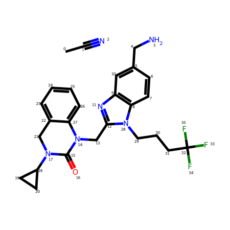 CC#N.NCc1ccc2c(c1)nc(CN1C(=O)N(C3CC3)Cc3ccccc31)n2CCCC(F)(F)F